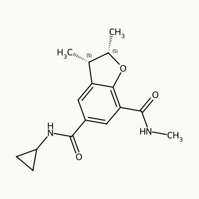 CNC(=O)c1cc(C(=O)NC2CC2)cc2c1O[C@@H](C)[C@H]2C